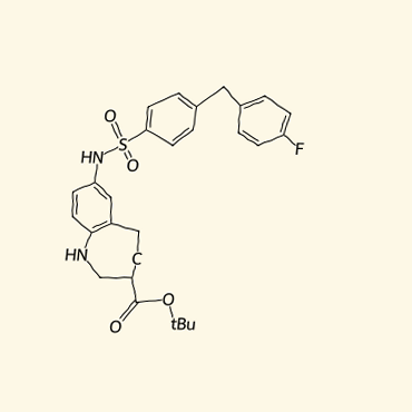 CC(C)(C)OC(=O)C1CCc2cc(NS(=O)(=O)c3ccc(Cc4ccc(F)cc4)cc3)ccc2NC1